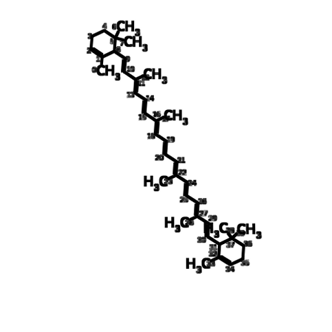 CC1=CCCC(C)(C)C1/C=C/C(C)=C/C=C/C(C)=C/C=C/C=C(C)/C=C/C=C(C)/C=C/C1C(C)=CCCC1(C)C